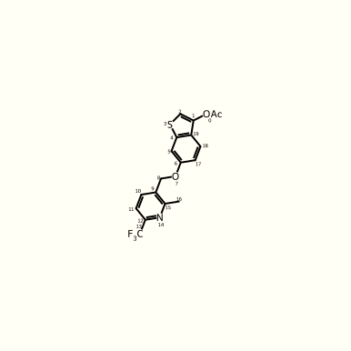 CC(=O)Oc1csc2cc(OCc3ccc(C(F)(F)F)nc3C)ccc12